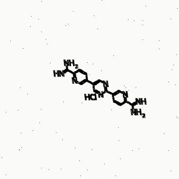 Cl.N=C(N)c1ccc(-c2cnc(-c3ccc(C(=N)N)nc3)nc2)cn1